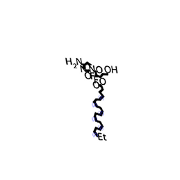 CC/C=C\C/C=C\C/C=C\C/C=C\C/C=C\C/C=C\CCC(=O)OC1C(CO)OC(n2ccc(N)nc2=O)C1(F)F